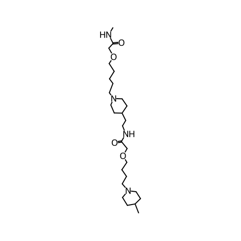 CNC(=O)COCCCCCN1CCC(CCNC(=O)COCCCCN2CCC(C)CC2)CC1